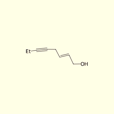 CCC#CCC=CCO